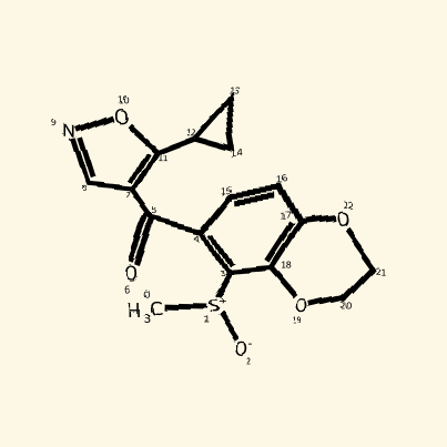 C[S+]([O-])c1c(C(=O)c2cnoc2C2CC2)ccc2c1OCCO2